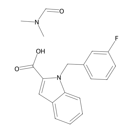 CN(C)C=O.O=C(O)c1cc2ccccc2n1Cc1cccc(F)c1